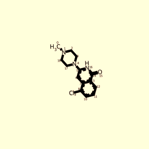 CN1CCN(c2cc3c(Cl)cccc3c(=O)[nH]2)CC1